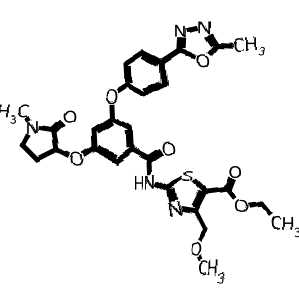 CCOC(=O)c1sc(NC(=O)c2cc(Oc3ccc(-c4nnc(C)o4)cc3)cc(OC3CCN(C)C3=O)c2)nc1COC